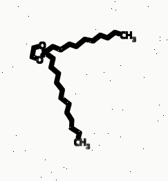 CCCCCCCCCCCCC1(CCCCCCCCCC)OCCO1